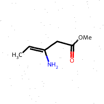 CC=C(N)CC(=O)OC